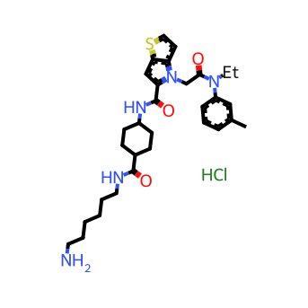 CCN(C(=O)Cn1c(C(=O)NC2CCC(C(=O)NCCCCCCN)CC2)cc2sccc21)c1cccc(C)c1.Cl